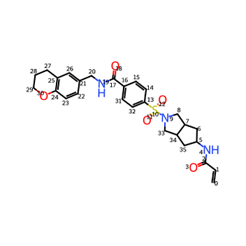 C=CC(=O)NC1CC2CN(S(=O)(=O)c3ccc(C(=O)NCc4ccc5c(c4)CCCO5)cc3)CC2C1